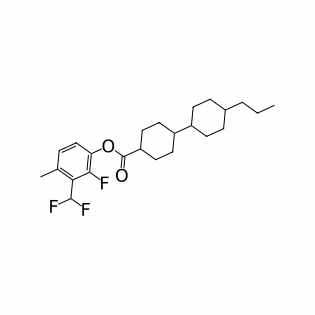 CCCC1CCC(C2CCC(C(=O)Oc3ccc(C)c(C(F)F)c3F)CC2)CC1